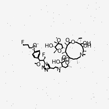 CC[C@H]1OC(=O)[C@H](C)[C@@H](C2C[C@@](C)(OC)[C@@H](O)[C@H](C)O2)[C@H](C)[C@@H](O[C@@H]2O[C@H](C)C[C@H](N(C)CCc3cn([C@H](CF)[C@H](OC)c4ccc([S+]([O-])CCCF)cc4)nn3)[C@H]2O)[C@](C)(O)C[C@@H](C)CN(C)[C@H](C)[C@@H](O)[C@]1(C)O